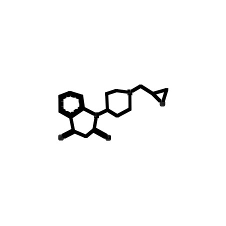 O=C1CC(=O)N(C2CCN(CC3CO3)CC2)c2ccccc21